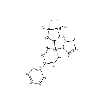 CC1(C)OB(C2(n3cccn3)C=CC(c3ccccc3)=CC2)OC1(C)C